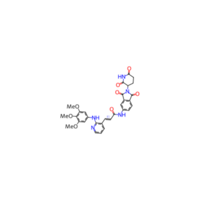 COc1cc(Nc2ncccc2/C=C/C(=O)Nc2ccc3c(c2)C(=O)N(C2CCC(=O)NC2=O)C3=O)cc(OC)c1OC